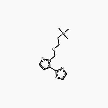 C[Si](C)(C)CCOCn1nccc1-c1nccs1